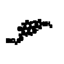 CCOC(=O)OCn1cc(C)c2c([S+]([O-])N3CCC(N)C3)cccc2c1=O